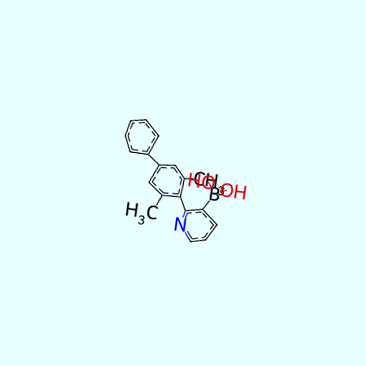 Cc1cc(-c2ccccc2)cc(C)c1-c1ncccc1B(O)O